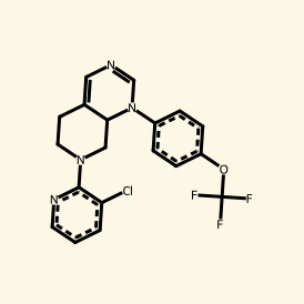 FC(F)(F)Oc1ccc(N2C=NC=C3CCN(c4ncccc4Cl)CC32)cc1